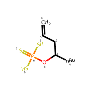 C=CCC(CCCC)OP(=S)(S)S